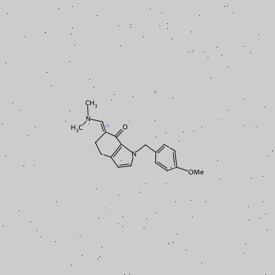 COc1ccc(Cn2ccc3c2C(=O)/C(=C/N(C)C)CC3)cc1